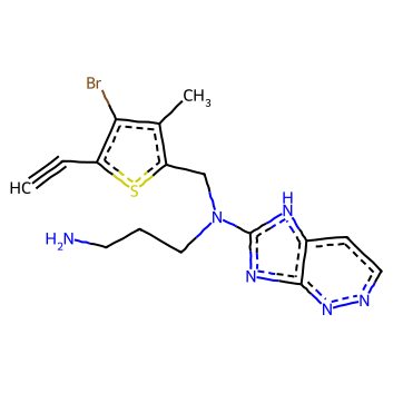 C#Cc1sc(CN(CCCN)c2nc3nnccc3[nH]2)c(C)c1Br